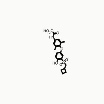 Cc1cc(NC(=O)C(=O)O)cc(C)c1Oc1ccc(O)c(S(=O)(=O)CC2CCC2)c1